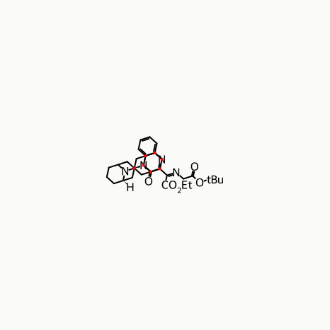 CCOC(=O)C(=NCC(=O)OC(C)(C)C)c1nc2ccccc2n([C@@H]2CC3CCC[C@H](C2)N3C2CC3CCCC(C3)C2)c1=O